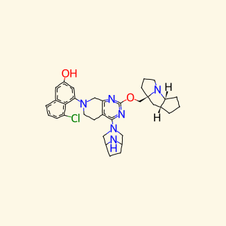 Oc1cc(N2CCc3c(nc(OC[C@@]45CCCN4[C@@H]4CCC[C@@H]4C5)nc3N3CC4CCC(C3)N4)C2)c2c(Cl)cccc2c1